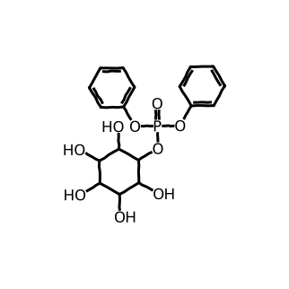 O=P(Oc1ccccc1)(Oc1ccccc1)OC1C(O)C(O)C(O)C(O)C1O